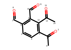 CC(=O)c1ccc([C]=O)c([C]=O)c1C(C)=O